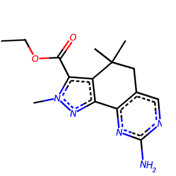 CCOC(=O)c1c2c(nn1C)-c1nc(N)ncc1CC2(C)C